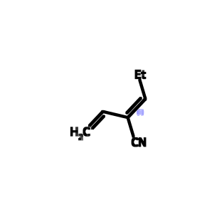 C=C/C(C#N)=C\CC